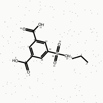 CCC.O=C(O)c1cc(C(=O)O)cc(S(=O)(=O)O)c1